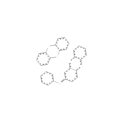 c1ccc(N=c2ccc3nc4ccccc4oc-3c2)cc1.c1ccc2c(c1)Nc1ccccc1O2